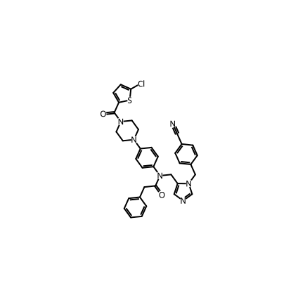 N#Cc1ccc(Cn2cncc2CN(C(=O)Cc2ccccc2)c2ccc(N3CCN(C(=O)c4ccc(Cl)s4)CC3)cc2)cc1